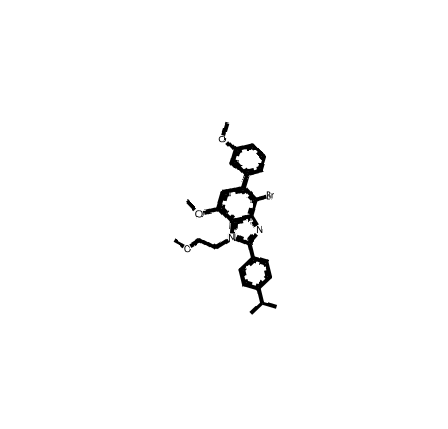 COCCn1c(-c2ccc(C(C)C)cc2)nc2c(Br)c(-c3cccc(OC)c3)cc(OC)c21